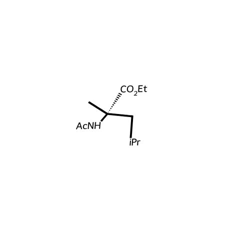 CCOC(=O)[C@](C)(CC(C)C)NC(C)=O